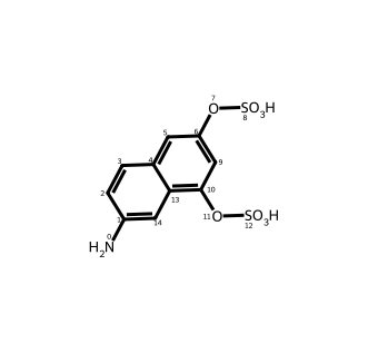 Nc1ccc2cc(OS(=O)(=O)O)cc(OS(=O)(=O)O)c2c1